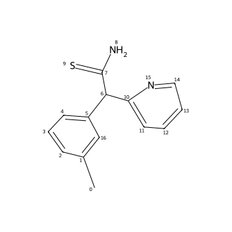 Cc1cccc(C(C(N)=S)c2ccccn2)c1